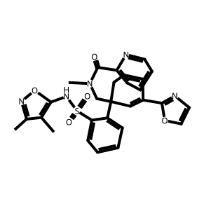 Cc1noc(NS(=O)(=O)c2ccccc2C2(CN(C)C(=O)c3ccccn3)C=C(c3ncco3)C=CC2)c1C